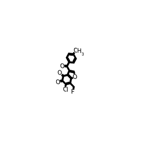 Cc1ccc(C(=O)c2coc3c2C(=O)C(=O)C(Cl)=C3CF)cc1